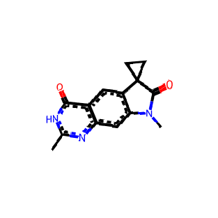 Cc1nc2cc3c(cc2c(=O)[nH]1)C1(CC1)C(=O)N3C